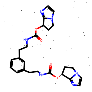 O=C(NCCc1cccc(CCNC(=O)O[C@@H]2CCn3ccnc32)c1)OC1CCn2ccnc21